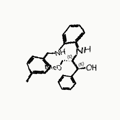 COC[C@H](Nc1ccccc1NCc1ccc(C)cc1)[C@@H](O)c1ccccc1